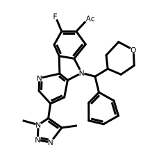 CC(=O)c1cc2c(cc1F)c1ncc(-c3c(C)nnn3C)cc1n2C(c1ccccc1)C1CCOCC1